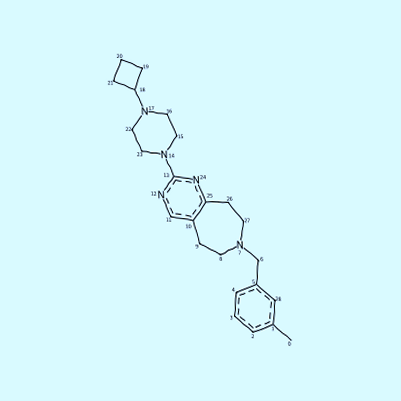 Cc1cccc(CN2CCc3cnc(N4CCN(C5CCC5)CC4)nc3CC2)c1